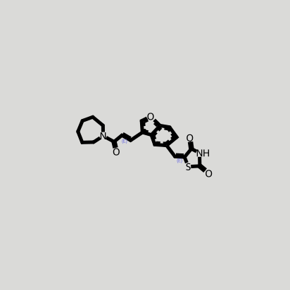 O=C1NC(=O)/C(=C\c2ccc3occ(/C=C/C(=O)N4CCCCCC4)c3c2)S1